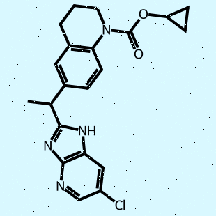 CC(c1ccc2c(c1)CCCN2C(=O)OC1CC1)c1nc2ncc(Cl)cc2[nH]1